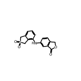 O=C1OCc2ccc(Nc3[c]ccc4c3CS(=O)(=O)C4)cc21